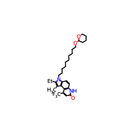 CCc1c(C)c2c3c(C(F)(F)F)cc(=O)[nH]c3ccc2n1CCCCCCCCCCOC1CCCCO1